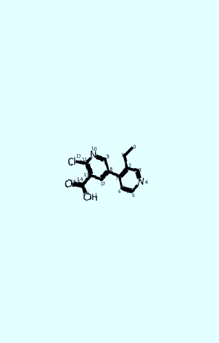 CCc1cnccc1-c1cnc(Cl)c(C(=O)O)c1